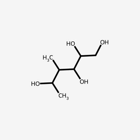 CC(O)C(C)C(O)C(O)CO